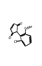 COc1cccc(Cl)c1C1C(=O)C=CC1=O